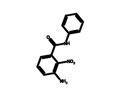 Nc1cccc(C(=O)Nc2ccccc2)c1[N+](=O)[O-]